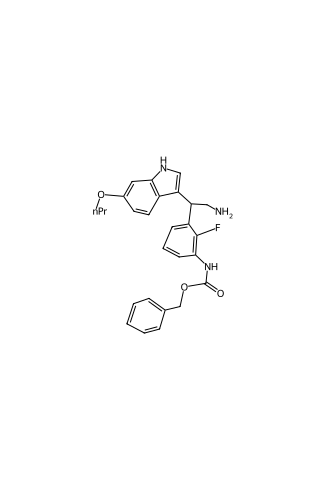 CCCOc1ccc2c(C(CN)c3cccc(NC(=O)OCc4ccccc4)c3F)c[nH]c2c1